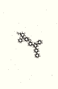 [3H]c1cccc(N(c2ccccc2)c2ccc(Oc3cccc(-c4cc(-c5ccc(-c6ccccc6)cc5)cc(-c5ccccc5)n4)c3)cc2)c1